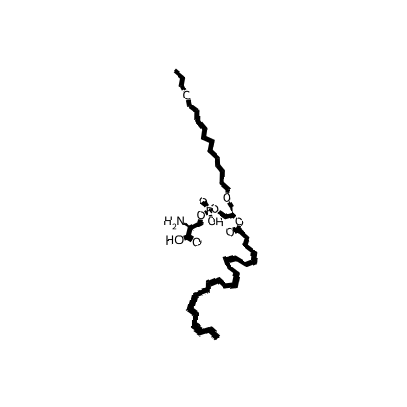 CC/C=C\C/C=C\C/C=C\C/C=C\C/C=C\C/C=C\CCC(=O)O[C@H](COCCCCCCCCCCCCCCCC)COP(=O)(O)OC[C@H](N)C(=O)O